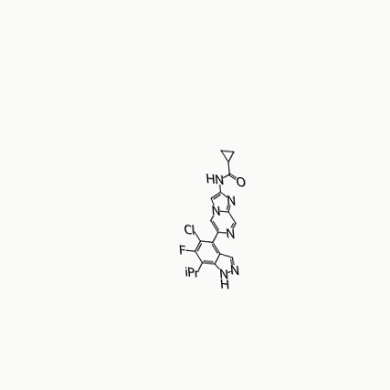 CC(C)c1c(F)c(Cl)c(-c2cn3cc(NC(=O)C4CC4)nc3cn2)c2cn[nH]c12